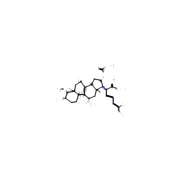 CC(=O)O[C@H]1C[C@]2(C)C3CC[C@H]4[C@H](CN)[C@H](O)CC[C@]4(C)[C@@H]3[C@H](O)C[C@H]2/C1=C(\C=C\C=C(C)C)C(=O)O